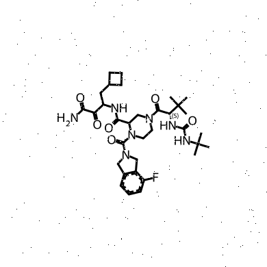 CC(C)(C)NC(=O)N[C@H](C(=O)N1CCN(C(=O)N2Cc3cccc(F)c3C2)C(C(=O)NC(CC2CCC2)C(=O)C(N)=O)C1)C(C)(C)C